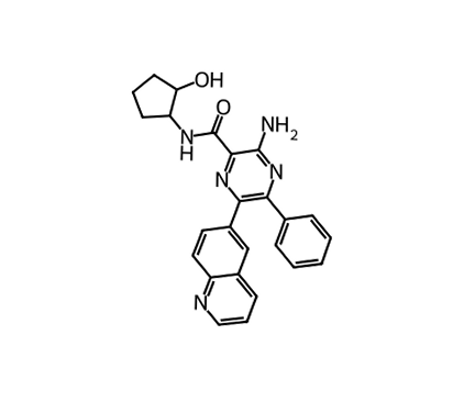 Nc1nc(-c2ccccc2)c(-c2ccc3ncccc3c2)nc1C(=O)NC1CCCC1O